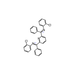 Clc1ccccc1/N=C(\c1ccccc1)c1cccc(/C(=N/c2ccccc2Cl)c2ccccc2)n1